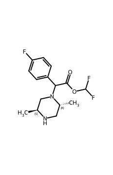 C[C@@H]1CN[C@@H](C)CN1C(C(=O)OC(F)F)c1ccc(F)cc1